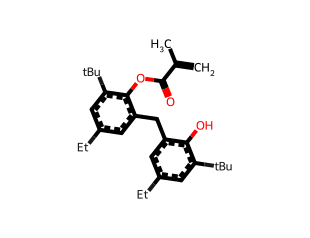 C=C(C)C(=O)Oc1c(Cc2cc(CC)cc(C(C)(C)C)c2O)cc(CC)cc1C(C)(C)C